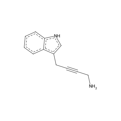 NCC#CCc1c[nH]c2ccccc12